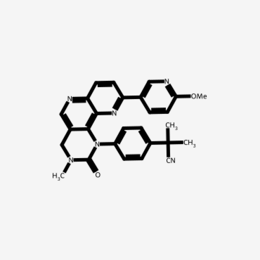 COc1ccc(-c2ccc3ncc4c(c3n2)N(c2ccc(C(C)(C)C#N)cc2)C(=O)N(C)C4)cn1